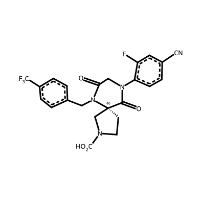 N#Cc1ccc(N2CC(=O)N(Cc3ccc(C(F)(F)F)cc3)[C@@]3(CCN(C(=O)O)C3)C2=O)c(F)c1